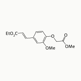 CCOC(=O)C=Cc1ccc(OCC(=O)OC)c(OC)c1